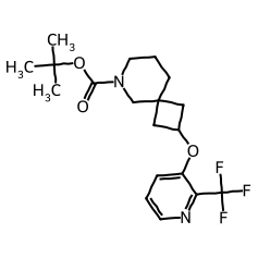 CC(C)(C)OC(=O)N1CCCC2(CC(Oc3cccnc3C(F)(F)F)C2)C1